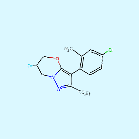 CCOC(=O)c1nn2c(c1-c1ccc(Cl)cc1C)OC[C@@H](F)C2